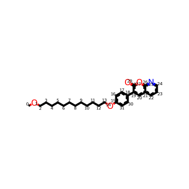 COCCCCCCCCCCCCOc1ccc(-c2cc3cccnc3oc2=O)cc1